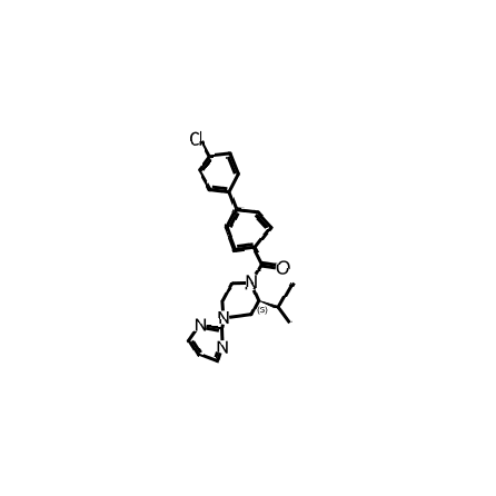 CC(C)[C@H]1CN(c2ncccn2)CCN1C(=O)c1ccc(-c2ccc(Cl)cc2)cc1